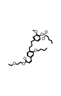 CCCCOc1cc(/C=C\C(=O)OCCOCC)ccc1CCCc1ccc(OS(=O)(=O)CCCC)c(OC)c1